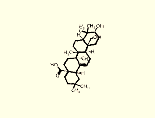 CC1(C)CC[C@]2(C(=O)O)CC[C@]3(C)C(=CC[C@@H]4[C@@]5(CO)CC[C@H](O)C(C)(C)[C@@H]5CC[C@]43C)[C@@H]2C1